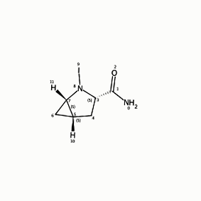 NC(=O)[C@@H]1C[C@@H]2C[C@@H]2N1I